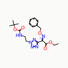 CCOC(=O)/C(=N/OCc1ccccc1)c1nnn(CCNC(=O)OC(C)(C)C)n1